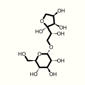 OC[C@H]1O[C@H](OC[C@@H](O)[C@@]2(O)OC[C@@H](O)[C@H]2O)[C@H](O)[C@@H](O)[C@@H]1O